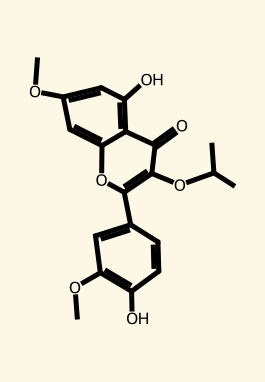 COc1cc(O)c2c(=O)c(OC(C)C)c(-c3ccc(O)c(OC)c3)oc2c1